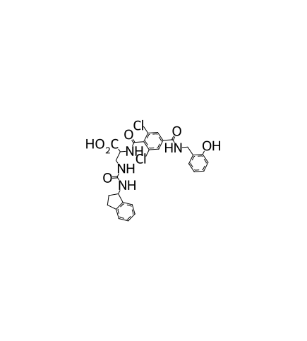 O=C(NCC(NC(=O)c1c(Cl)cc(C(=O)NCc2ccccc2O)cc1Cl)C(=O)O)NC1CCc2ccccc21